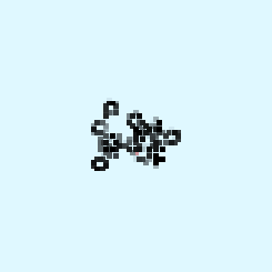 c1ccc(-c2cccc(-c3nc(-c4ccccc4)nc(-c4cccc(-n5c6ccccc6c6oc7c(c65)C(c5ccccc5)Nc5ccccc5-7)c4)n3)c2)cc1